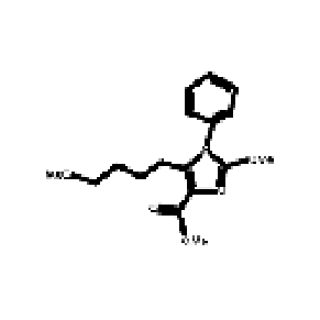 COCCCCc1c(C(=O)OC)nc(OC)n1-c1ccccc1